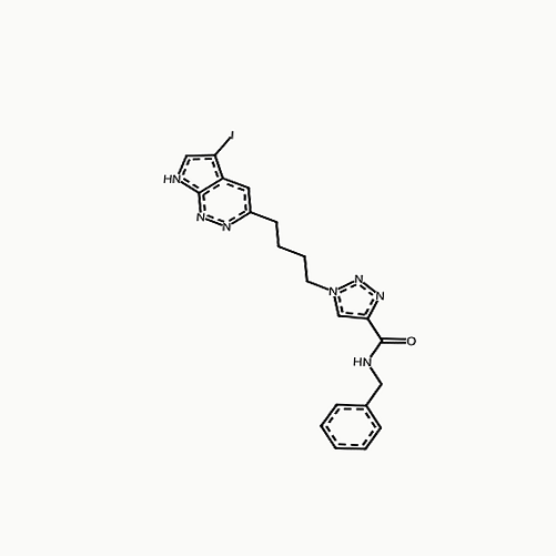 O=C(NCc1ccccc1)c1cn(CCCCc2cc3c(I)c[nH]c3nn2)nn1